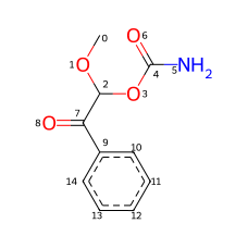 COC(OC(N)=O)C(=O)c1ccccc1